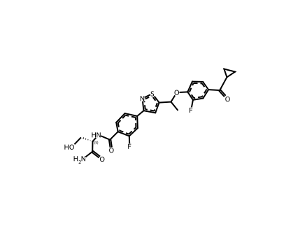 CC(Oc1ccc(C(=O)C2CC2)cc1F)c1cc(-c2ccc(C(=O)N[C@@H](CO)C(N)=O)c(F)c2)ns1